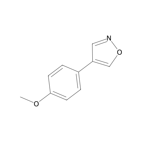 COc1ccc(-c2cnoc2)cc1